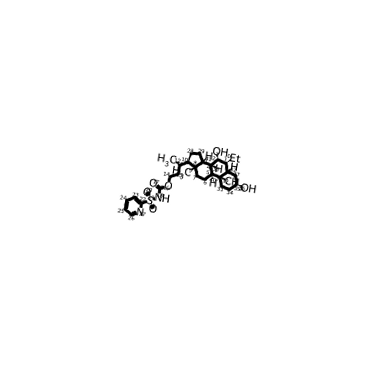 CC[C@H]1[C@@H](O)[C@@H]2[C@H](CC[C@]3(C)[C@@H]([C@H](C)CCOC(=O)NS(=O)(=O)c4ccccn4)CC[C@@H]23)[C@@]2(C)CC[C@@H](O)C[C@@H]12